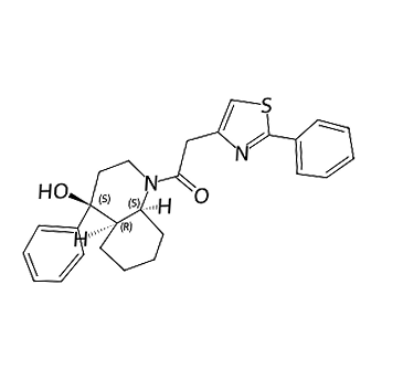 O=C(Cc1csc(-c2ccccc2)n1)N1CC[C@@](O)(c2ccccc2)[C@@H]2CCCC[C@@H]21